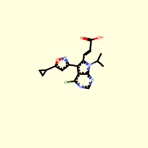 CC(C)n1c(/C=C/C(=O)O)c(-c2cc(C3CC3)on2)c2c(Cl)ncnc21